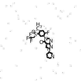 Cc1cc(F)c(-n2cnc3nn(-c4cccnc4)cc3c2=O)cc1[S+]([O-])CC(F)(F)F